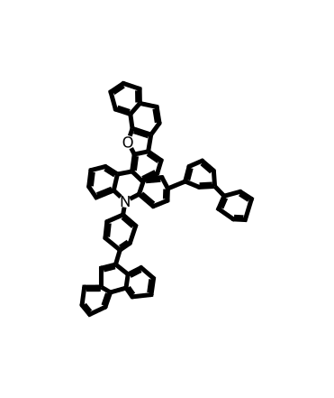 c1ccc(-c2cccc(-c3ccc(N(c4ccc(-c5cc6ccccc6c6ccccc56)cc4)c4ccccc4-c4cccc5c4oc4c6ccccc6ccc54)cc3)c2)cc1